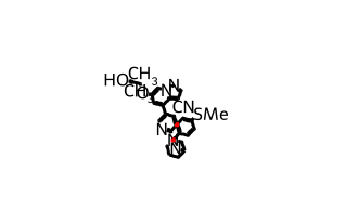 CSc1ccc(CN2C3CC2CN(c2ccc(-c4cc(OCC(C)(C)O)cn5ncc(C#N)c45)cn2)C3)cc1